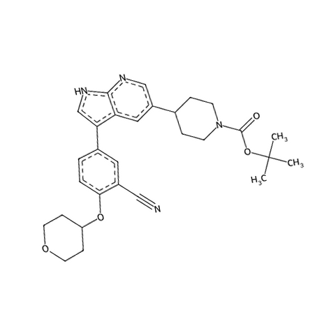 CC(C)(C)OC(=O)N1CCC(c2cnc3[nH]cc(-c4ccc(OC5CCOCC5)c(C#N)c4)c3c2)CC1